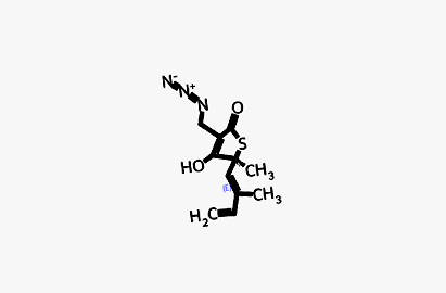 C=C/C(C)=C/[C@@]1(C)SC(=O)C(CN=[N+]=[N-])=C1O